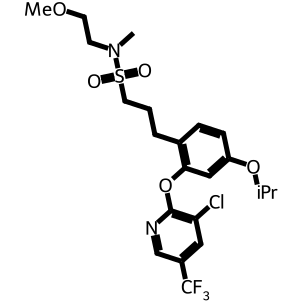 COCCN(C)S(=O)(=O)CCCc1ccc(OC(C)C)cc1Oc1ncc(C(F)(F)F)cc1Cl